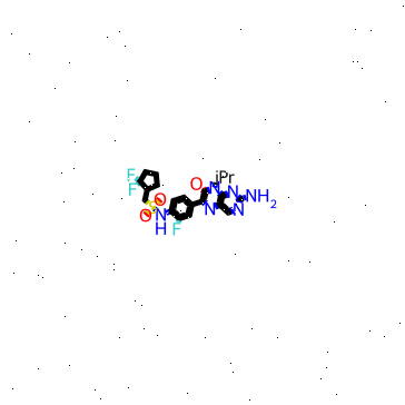 CC(C)n1c(=O)c(-c2ccc(NS(=O)(=O)CC3CCCC3(F)F)c(F)c2)nc2cnc(N)nc21